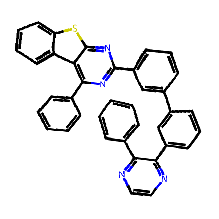 c1ccc(-c2nccnc2-c2cccc(-c3cccc(-c4nc(-c5ccccc5)c5c(n4)sc4ccccc45)c3)c2)cc1